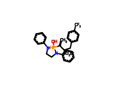 C=C(C(Cc1ccc(C(F)(F)F)cc1)C(=O)OCC)[PH]1(O)N(c2ccccc2)CCN1c1ccccc1